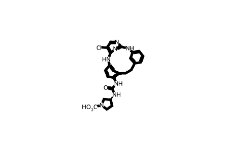 O=C(Nc1ccc2cc1CCc1cccc(c1)Nc1ncc(Cl)c(n1)N2)N[C@H]1CCN(C(=O)O)C1